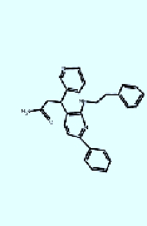 NC(=O)CC(c1cccnc1)c1ccc(-c2ccccc2)nc1NCCc1ccccc1